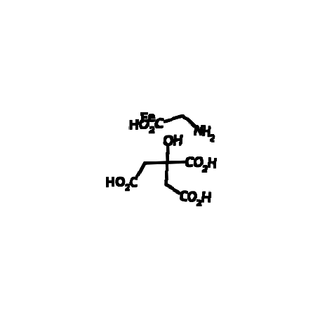 NCC(=O)O.O=C(O)CC(O)(CC(=O)O)C(=O)O.[Fe]